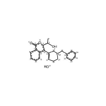 CC(O)c1oc(=O)c2ccccc2c1C1=CCCN(Cc2ccccc2)C1.Cl